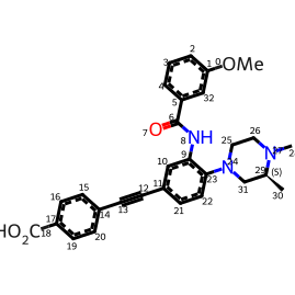 COc1cccc(C(=O)Nc2cc(C#Cc3ccc(C(=O)O)cc3)ccc2N2CCN(C)[C@@H](C)C2)c1